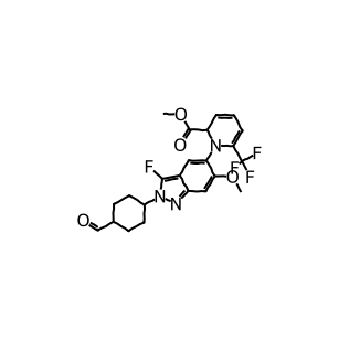 COC(=O)C1C=CC=C(C(F)(F)F)N1c1cc2c(F)n(C3CCC(C=O)CC3)nc2cc1OC